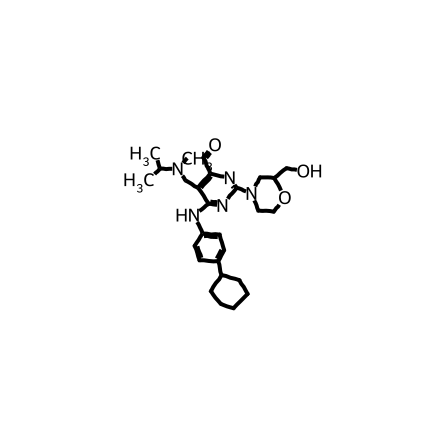 CC(C)N(C)Cc1c(C=O)nc(N2CCOC(CO)C2)nc1Nc1ccc(C2CCCCC2)cc1